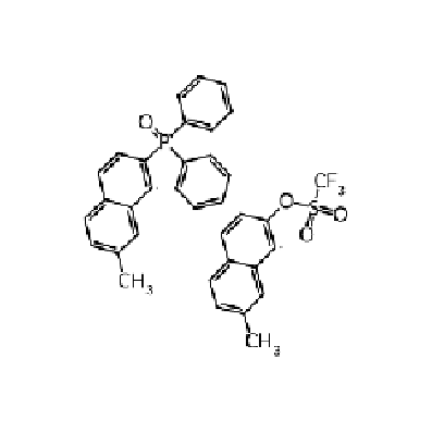 Cc1ccc2ccc(OS(=O)(=O)C(F)(F)F)[c]c2c1.Cc1ccc2ccc(P(=O)(c3ccccc3)c3ccccc3)[c]c2c1